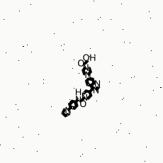 O=C(CO)N1CCN(c2ccc3c(C4CCN(C(=O)Nc5ccc(N6CCCC6)cc5)CC4)ncnc3c2)CC1